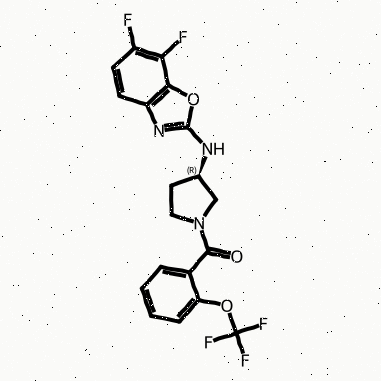 O=C(c1ccccc1OC(F)(F)F)N1CC[C@@H](Nc2nc3ccc(F)c(F)c3o2)C1